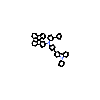 c1ccc(-c2cccc(N(c3ccc(-c4ccc5c(c4)c4ccccc4n5-c4ccccc4)cc3)c3ccc4c(c3)C3(c5ccccc5-c5ccccc53)c3ccccc3-4)c2)cc1